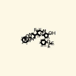 O=C1NC2CCC1CN(c1ncc(-c3cn4c5c(nc4cc3F)[C@H](O)C[C@@H]5c3ccccc3OC(F)F)cn1)C2